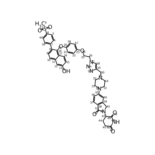 CS(=O)(=O)c1ccc(-c2ccc3cc(O)ccc3c2Oc2ccc(OCCn3cc(CN4CCN(c5ccc6c(c5)CN(C5CCC(=O)NC5=O)C6=O)CC4)nn3)cc2)cc1